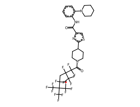 O=C(Nc1ccccc1N1CCCCC1)c1csc(C2CCN(C(=O)C(F)(F)C(F)(CC(F)(F)C(C(F)(F)F)(C(F)(F)F)C(F)(F)F)C(F)(F)F)CC2)n1